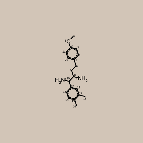 COc1ccc(CCC(N)C(N)c2ccc(C)c(C)c2)cc1